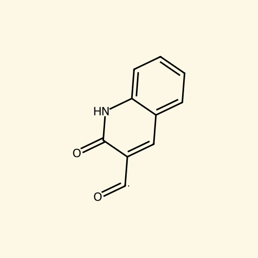 O=[C]c1cc2ccccc2[nH]c1=O